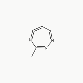 CC1=NN=CC=C=N1